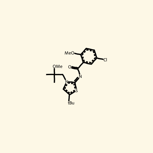 COc1ccc(Cl)cc1C(=O)N=c1sc(C(C)(C)C)cn1CC(C)(C)OC